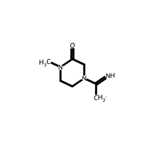 [CH2]C(=N)N1CCN(C)C(=O)C1